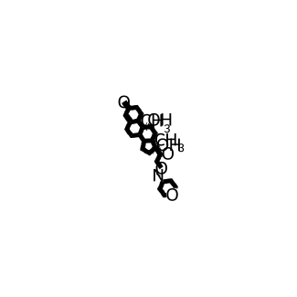 CC12CCC(=O)C=C1CCC1C2[C@@H](O)CC2(C)C1CC[C@]2(O)C(=O)CON=C1CCOCC1